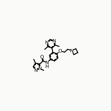 Cc1cnn(C)c1C(=O)Nc1ccc(OCCN2CCC2)c(-c2c(C)ncnc2C)c1